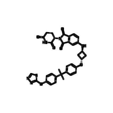 CC(C)(c1ccc(Oc2nncs2)cc1)c1ccc(O[C@H]2C[C@H](Nc3ccc4c(c3)C(=O)N(C3CCC(=O)NC3=O)C4=O)C2)cc1